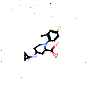 Cc1cc(F)ccc1N1CCC(NC2CC2)CC1C(=O)O